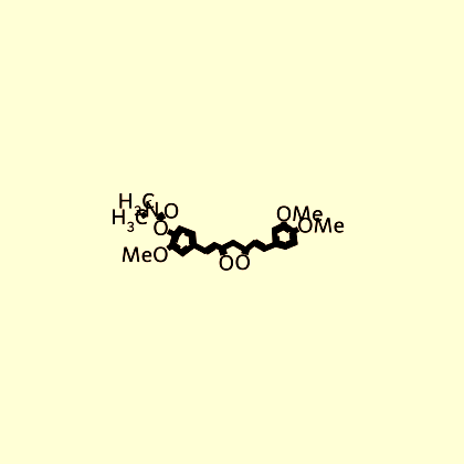 COc1ccc(C=CC(=O)CC(=O)C=Cc2ccc(OC(=O)N(C)C)c(OC)c2)cc1OC